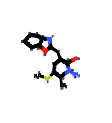 CSc1cc(Cc2nc3ccccc3o2)c(=O)n(N)c1C